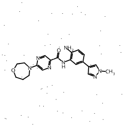 Cn1cc(-c2ccc(N)c(NC(=O)c3cnc(N4CCCOCC4)cn3)c2)cn1